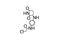 O=C1CCC(Nc2ccc(NC(=O)CCl)cc2)C(=O)N1